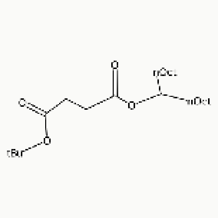 CCCCCCCCC(CCCCCCCC)OC(=O)CCC(=O)OC(C)(C)C